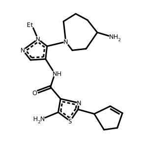 CCn1ncc(NC(=O)c2nc(C3C=CCC3)sc2N)c1N1CCCC(N)CC1